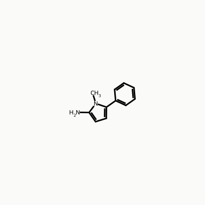 Cn1c(N)ccc1-c1ccccc1